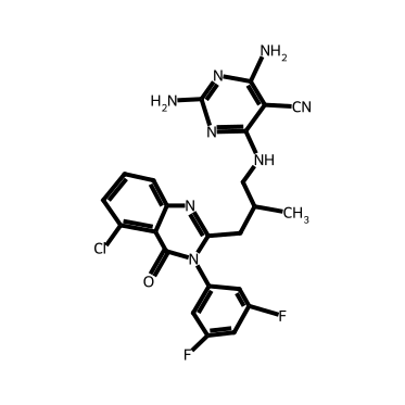 CC(CNc1nc(N)nc(N)c1C#N)Cc1nc2cccc(Cl)c2c(=O)n1-c1cc(F)cc(F)c1